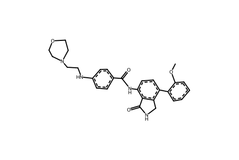 COc1ccccc1-c1ccc(NC(=O)c2ccc(NCCN3CCOCC3)cc2)c2c1CNC2=O